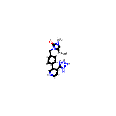 CCCCCc1cn(CCCC)c(=O)n1Cc1ccc(-c2cnccc2-c2nnn[nH]2)cc1